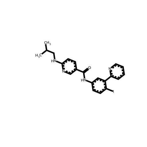 CC(C)CNc1ccc(C(=O)Nc2ccc(I)c(-c3ccccn3)c2)cn1